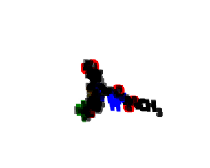 CCOC(=O)CNC(=O)NCCCn1c(-c2ccc3c(c2)OCO3)cs/c1=N\c1ccc(OC(F)(F)F)cc1